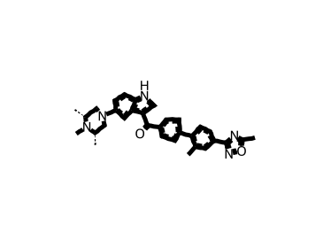 Cc1nc(-c2ccc(-c3ccc(C(=O)c4c[nH]c5ccc(N6C[C@@H](C)N(C)[C@@H](C)C6)cc45)cc3)c(C)c2)no1